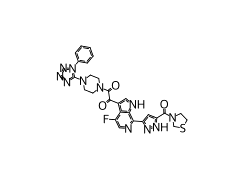 O=C(C(=O)N1CCN(c2nnnn2-c2ccccc2)CC1)c1c[nH]c2c(-c3cc(C(=O)N4CCSC4)[nH]n3)ncc(F)c12